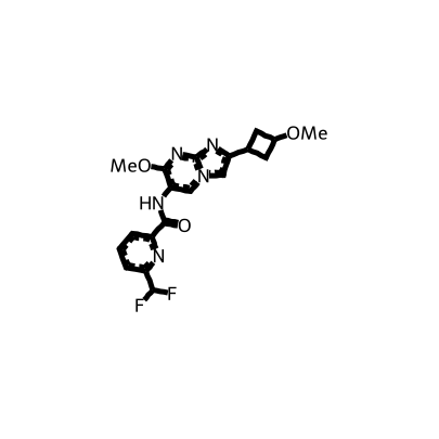 COc1nc2nc(C3CC(OC)C3)cn2cc1NC(=O)c1cccc(C(F)F)n1